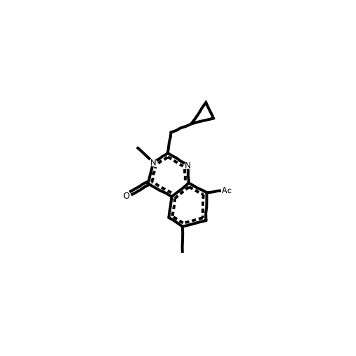 CC(=O)c1cc(C)cc2c(=O)n(C)c(CC3CC3)nc12